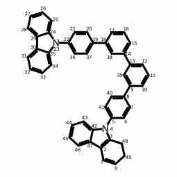 C1=Cc2c(n(-c3ccc(-c4cccc(-c5cccc(-c6ccc(-n7c8ccccc8c8ccccc87)cc6)c5)c4)cc3)c3ccccc23)CC1